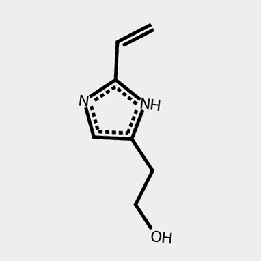 C=Cc1ncc(CCO)[nH]1